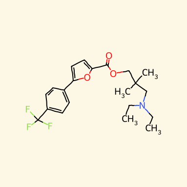 CCN(CC)CC(C)(C)COC(=O)c1ccc(-c2ccc(C(F)(F)F)cc2)o1